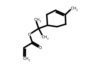 C=CC(=O)OC(C)(C)C1CC=C(C)CC1